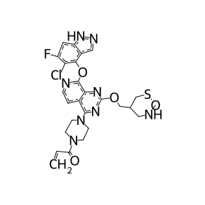 C=CC(=O)N1CCN(c2nc(OCC3CNOSC3)nc3c(Oc4c(Cl)c(F)cc5[nH]ncc45)nccc23)CC1